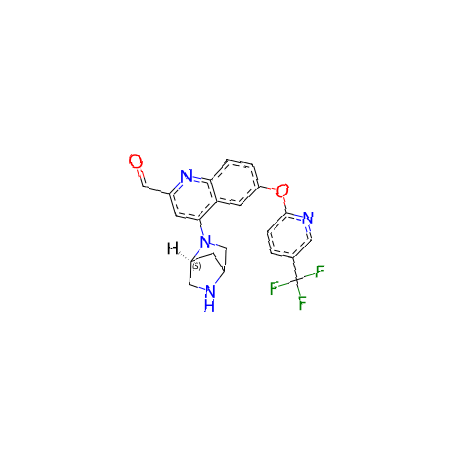 O=Cc1cc(N2CC3C[C@H]2CN3)c2cc(Oc3ccc(C(F)(F)F)cn3)ccc2n1